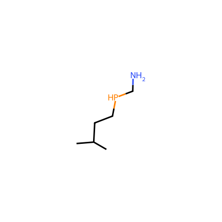 CC(C)CCPCN